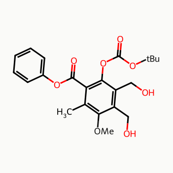 COc1c(C)c(C(=O)Oc2ccccc2)c(OC(=O)OC(C)(C)C)c(CO)c1CO